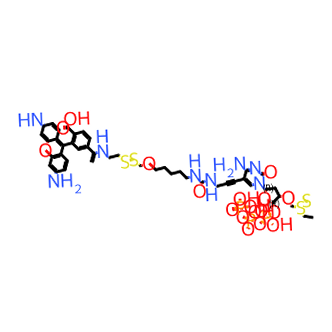 C=C(NCCSSCOCCCCCNC(=O)NCC#Cc1cn([C@H]2CC(OCS(=S)CC)[C@@H](OP(=O)(O)OP(=O)(O)OP(=O)(O)O)O2)c(=O)nc1N)c1ccc(C(=O)O)c(-c2c3ccc(=N)cc-3oc3cc(N)ccc23)c1